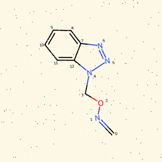 C=NOCn1nnc2ccccc21